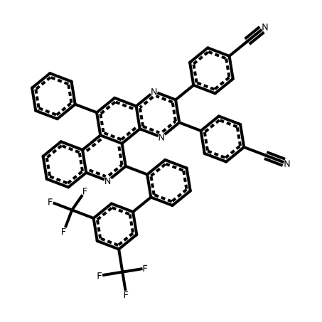 N#Cc1ccc(-c2nc3cc(-c4ccccc4)c4c5ccccc5nc(-c5ccccc5-c5cc(C(F)(F)F)cc(C(F)(F)F)c5)c4c3nc2-c2ccc(C#N)cc2)cc1